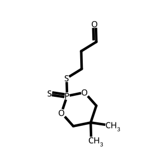 CC1(C)COP(=S)(SCCC=O)OC1